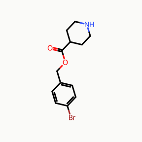 O=C(OCc1ccc(Br)cc1)C1CCNCC1